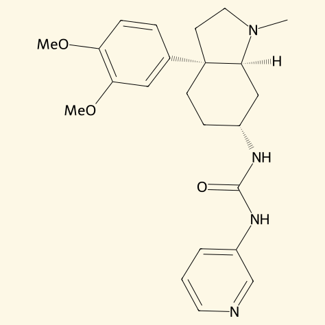 COc1ccc([C@@]23CC[C@@H](NC(=O)Nc4cccnc4)C[C@@H]2N(C)CC3)cc1OC